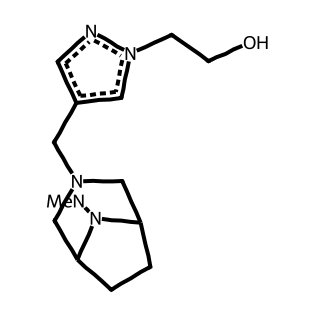 CNN1C2CCC1CN(Cc1cnn(CCO)c1)C2